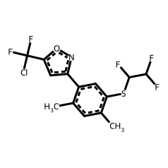 Cc1cc(C)c(-c2cc(C(F)(F)Cl)on2)cc1SC(F)C(F)F